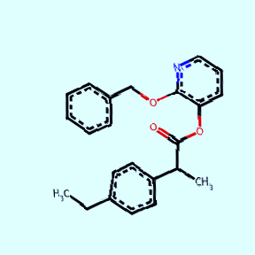 CCc1ccc(C(C)C(=O)Oc2cccnc2OCc2ccccc2)cc1